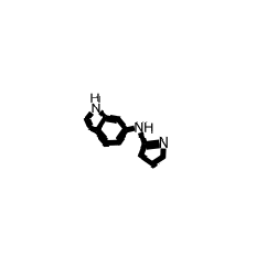 c1cc2ccc(NC3=NCCC3)cc2[nH]1